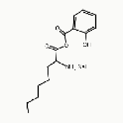 CCCCCCC(N)C(=O)OC(=O)c1ccccc1O.[NaH]